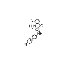 CCc1cccc(C(=O)c2sc(Nc3ccc(N4CCC(N(C)C)CC4)cc3)nc2N)c1